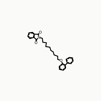 O=C1c2ccccc2C(=O)N1CCCCCCCCCCOc1ccccc1-c1ccccc1